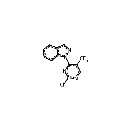 FC(F)(F)c1cnc(Cl)nc1-n1ncc2ccccc21